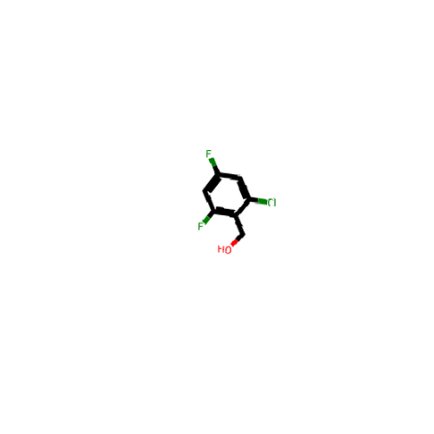 OCc1c(F)cc(F)cc1Cl